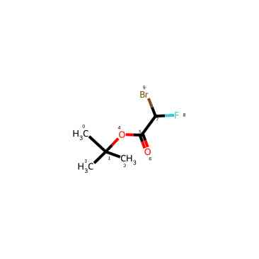 CC(C)(C)OC(=O)C(F)Br